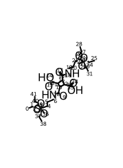 CCO[Si](CCCNC(=O)C1C(C(=O)O)C(C(=O)NCCC[Si](OCC)(OCC)OCC)C1C(=O)O)(OCC)OCC